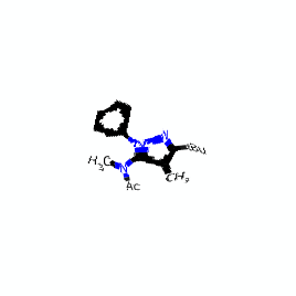 CC(=O)N(C)c1c(C)c(C(C)(C)C)nn1-c1ccccc1